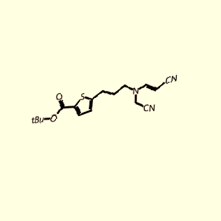 CC(C)(C)OC(=O)c1ccc(CCCN(C=CC#N)CC#N)s1